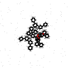 c1ccc(-c2ccc3c(c2)c2cc(-c4ccccc4)ccc2n3-c2cc(-n3c4ccc(-c5ccccc5)cc4c4cc(-c5ccccc5)ccc43)cc(C3(c4cc(-n5c6ccc(-c7ccccc7)cc6c6cc(-c7ccccc7)ccc65)cc(-n5c6ccc(-c7ccccc7)cc6c6cc(-c7ccccc7)ccc65)c4)c4ccccc4-c4ccccc43)c2)cc1